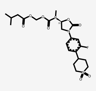 CC(C)CC(=O)OCOC(=O)N(C)[C@@H]1CN(c2ccc(C3CCS(=O)(=O)CC3)c(F)c2)C(=O)O1